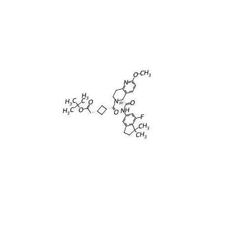 COc1ccc2c(n1)CCN(C(=O)[C@H]1C[C@@H](CC(=O)OC(C)(C)C)C1)[C@H]2C(=O)Nc1cc(F)c2c(c1)CCC2(C)C